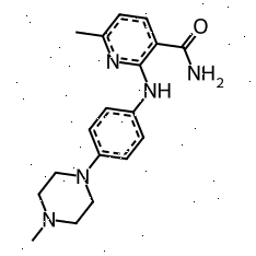 Cc1ccc(C(N)=O)c(Nc2ccc(N3CCN(C)CC3)cc2)n1